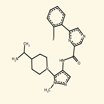 CC(N)C1CCN(c2c(NC(=O)c3cncc(-c4ccccc4F)n3)cnn2C)CC1